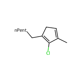 CCCCCCC1=C(Cl)C(C)=CC1